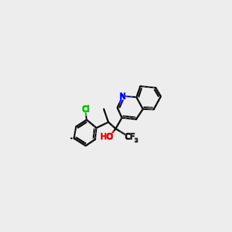 CC(c1cc[c]cc1Cl)C(O)(c1cnc2ccccc2c1)C(F)(F)F